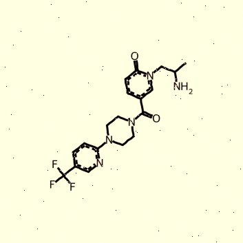 CC(N)Cn1cc(C(=O)N2CCN(c3ccc(C(F)(F)F)cn3)CC2)ccc1=O